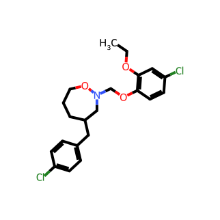 CCOc1cc(Cl)ccc1OCN1CC(Cc2ccc(Cl)cc2)CCCO1